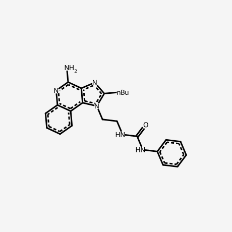 CCCCc1nc2c(N)nc3ccccc3c2n1CCNC(=O)Nc1ccccc1